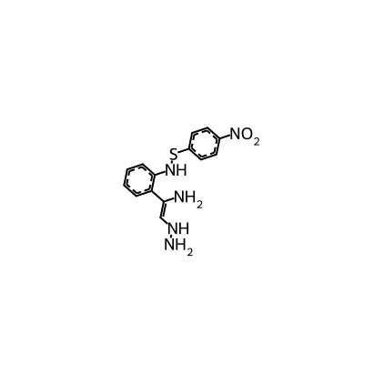 NN/C=C(\N)c1ccccc1NSc1ccc([N+](=O)[O-])cc1